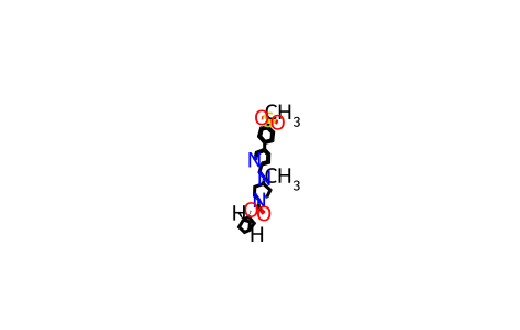 CN(Cc1ccc(-c2ccc(S(C)(=O)=O)cc2)cn1)C1CCN(C(=O)O[C@@H]2C[C@@H]3CC[C@H]2C3)CC1